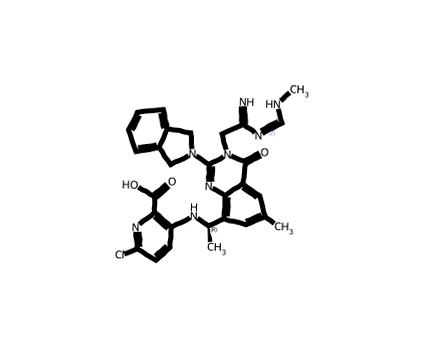 CN/C=N\C(=N)Cn1c(N2Cc3ccccc3C2)nc2c([C@@H](C)Nc3ccc(Cl)nc3C(=O)O)cc(C)cc2c1=O